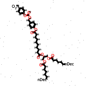 CCCCCCCCCCCCCCCC(=O)OCC(COC(=O)CCCCCCCCCCCCCCC)OC(=O)CCCCCCCCC(=O)Oc1ccc(COC(=O)Oc2ccc([N+](=O)[O-])cc2)cc1